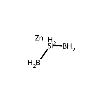 B[SiH2]B.[Zn]